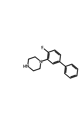 Fc1ccc(-c2ccccc2)cc1N1CCNCC1